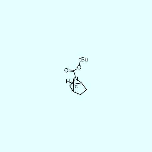 C[C@H]1C2CCC1N(C(=O)OC(C)(C)C)C2